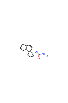 NC(=O)[N]c1cccc2c1ccc1ccccc12